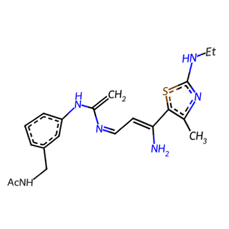 C=C(/N=C\C=C(/N)c1sc(NCC)nc1C)Nc1cccc(CNC(C)=O)c1